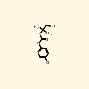 CC(C)(CO)SC(=S)Nc1ccc(Cl)cn1